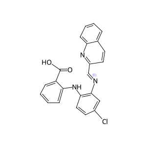 O=C(O)c1ccccc1Nc1ccc(Cl)cc1/N=C/c1ccc2ccccc2n1